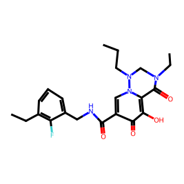 CCCN1CN(CC)C(=O)c2c(O)c(=O)c(C(=O)NCc3cccc(CC)c3F)cn21